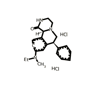 CCN(C)c1ccc2c(c1)[C@H](c1ccccc1)CN1CCNC(=O)[C@H]21.Cl.Cl